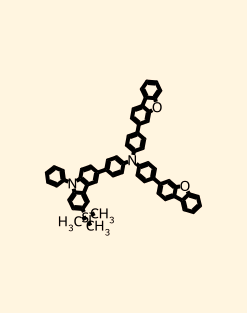 C[Si](C)(C)c1ccc2c(c1)c1cc(-c3ccc(N(c4ccc(-c5ccc6c(c5)oc5ccccc56)cc4)c4ccc(-c5ccc6c(c5)oc5ccccc56)cc4)cc3)ccc1n2-c1ccccc1